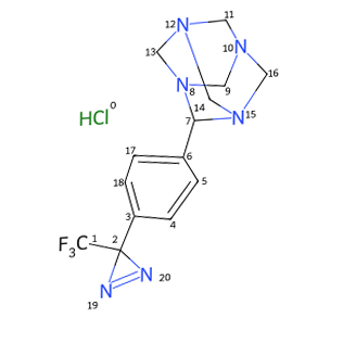 Cl.FC(F)(F)C1(c2ccc(C3N4CN5CN(C4)CN3C5)cc2)N=N1